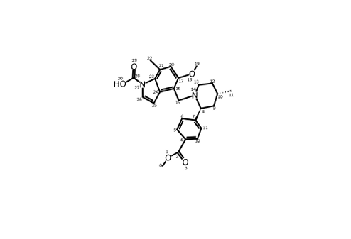 COC(=O)c1ccc([C@@H]2C[C@@H](C)CCN2Cc2c(OC)cc(C)c3c2ccn3C(=O)O)cc1